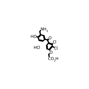 Cl.NCc1cc(C(=O)c2ccc(OCC(=O)O)c(Cl)c2Cl)ccc1O